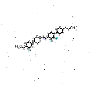 CCCc1ccc(-c2ccc(/C=C/C3CCC(c4ccc(CC)c(F)c4)CC3)c(F)c2F)cc1